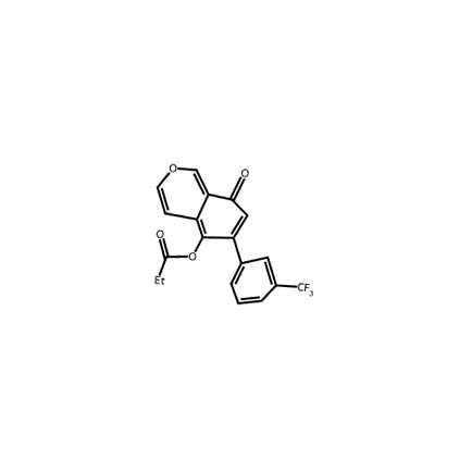 CCC(=O)Oc1c(-c2cccc(C(F)(F)F)c2)cc(=O)c2coccc1-2